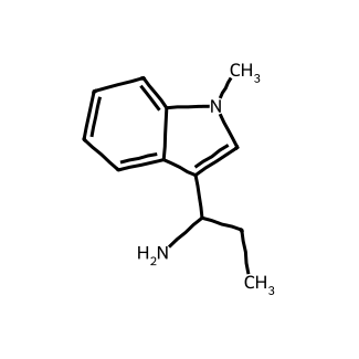 CCC(N)c1cn(C)c2ccccc12